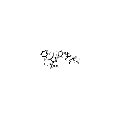 Cc1ncccc1Nc1cc([C@H]2CC[C@@H](NC(=O)OC(C)(C)C)C2)nn1C(C)(C)C